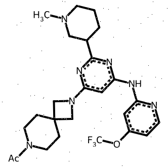 CC(=O)N1CCC2(CC1)CN(c1cc(Nc3cc(OC(F)(F)F)ccn3)nc(C3CCCN(C)C3)n1)C2